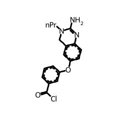 CCCN1Cc2cc(Oc3cccc(C(=O)Cl)c3)ccc2N=C1N